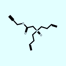 C#CCOC(=O)CP(=O)(CCC=C)CCC=C